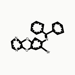 Brc1cc2c(cc1N=C(c1ccccc1)c1ccccc1)Oc1nccnc1O2